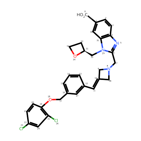 O=C(O)c1ccc2nc(CN3CC(=Cc4cccc(COc5ccc(Cl)cc5Cl)c4)C3)n(C[C@@H]3CCO3)c2c1